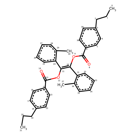 CCCc1ccc(C(=O)O/C(=C(/OC(=O)c2ccc(CCC)cc2)c2ccccc2C)c2ccccc2C)cc1